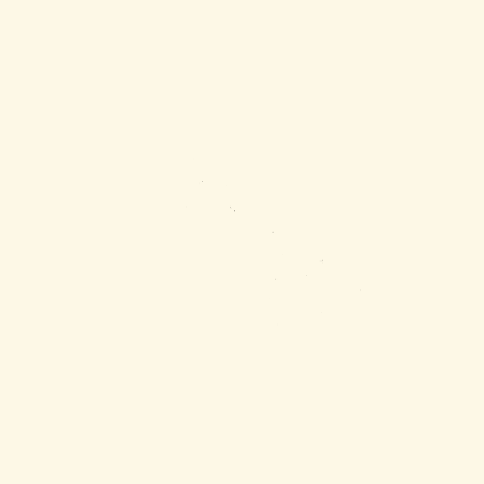 Clc1ccc(/C=N/CC#Cc2cccc3ccccc23)cc1